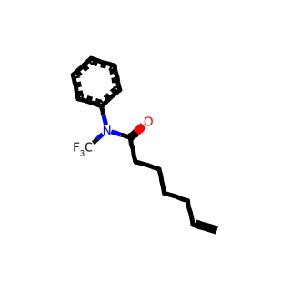 C=CCCCCC(=O)N(c1ccccc1)C(F)(F)F